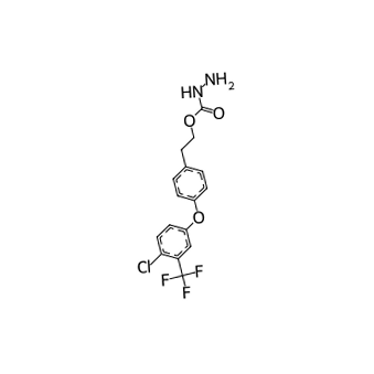 NNC(=O)OCCc1ccc(Oc2ccc(Cl)c(C(F)(F)F)c2)cc1